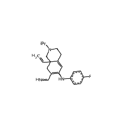 C=CC12CC(C=N)=C(Nc3ccc(F)cc3)C=C1CCN(C(C)C)C2